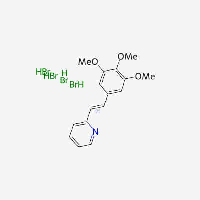 Br.Br.Br.Br.COc1cc(/C=C/c2ccccn2)cc(OC)c1OC